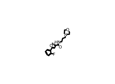 O=C(NCCCN1CCOCC1)c1cc(-c2ccccc2F)on1